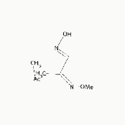 CC(C)=O.CON=C(C)C=NO